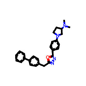 CN(C)C1CCN(c2ccc(-c3nnc(Cc4ccc(-c5ccccc5)cc4)o3)cc2)C1